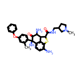 Cc1cc(Oc2ccccc2)ccc1C1(N)C(=O)C(N)C2c3c1ccc(N)c3SC2C(=O)NCC1CCN(C)C1